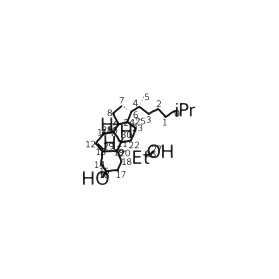 CC(C)CCC[C@@H](C)[C@H]1CC[C@H]2[C@@H]3CC=C4CC(O)CC[C@]4(C)[C@H]3CC[C@]12C.CCO